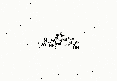 CC(C)(C)OC(=O)C(N)Cn1cnc2c(N3CCC(C(=O)O)CC3)ncnc21